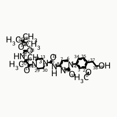 COc1cc(-n2ccc(NC(=O)N3CCN(C(=O)C(C)(C)NC(=O)OC(C)(C)C)CC3)nc2=O)ccc1CCO